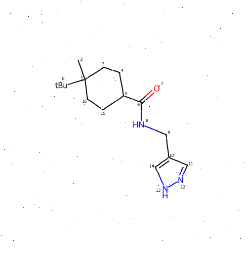 CC(C)(C)C1(C)CCC(C(=O)NCc2cn[nH]c2)CC1